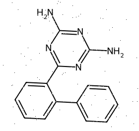 Nc1nc(N)nc(-c2ccccc2-c2ccccc2)n1